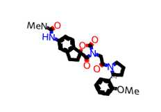 CNC(=O)Nc1ccc2c(c1)CCC21OC(=O)N(CC(=O)N2CCC[C@@H]2c2ccccc2OC)C1=O